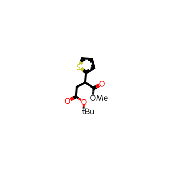 COC(=O)C(CC(=O)OC(C)(C)C)c1cccs1